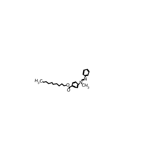 CCCCCCCCCCOC(=O)c1ccc(N(C)C=Nc2ccccc2)cc1